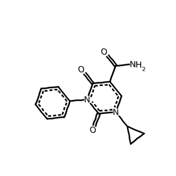 NC(=O)c1cn(C2CC2)c(=O)n(-c2ccccc2)c1=O